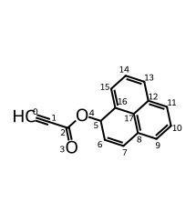 C#CC(=O)OC1C=Cc2cccc3cccc1c23